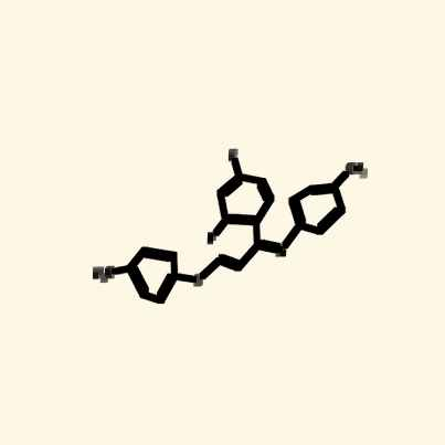 Cc1ccc(/N=C(/C=C/Sc2ccc(C)cc2)c2ccc(F)cc2F)cc1